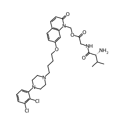 CC(C)[C@@H](N)C(=O)NCC(=O)OCn1c(=O)ccc2ccc(OCCCCN3CCN(c4cccc(Cl)c4Cl)CC3)cc21